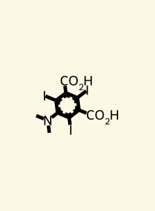 CN(C)c1c(I)c(C(=O)O)c(I)c(C(=O)O)c1I